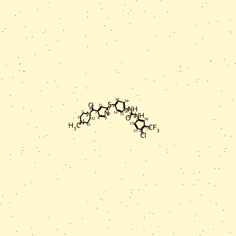 CN1CCN(C(=O)c2ccnc(Sc3ccc(NC(=O)Nc4ccc(Cl)c(C(F)(F)F)c4)cc3)c2)CC1